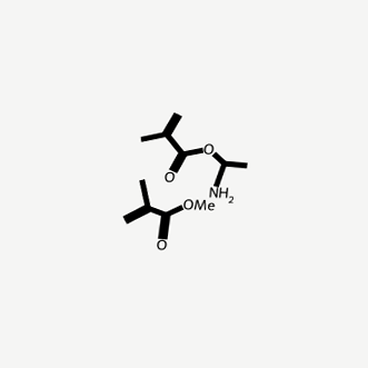 C=C(C)C(=O)OC.C=C(C)C(=O)OC(C)N